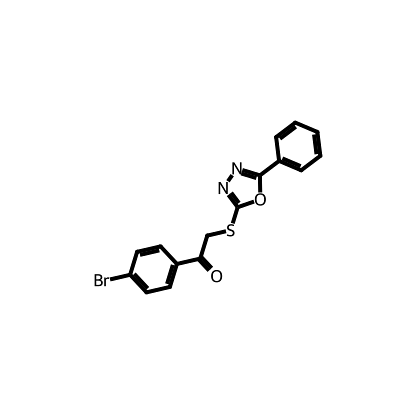 O=C(CSc1nnc(-c2ccccc2)o1)c1ccc(Br)cc1